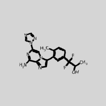 Cc1ccc(C(F)(F)C(C)O)cc1-c1cnc2c(N)nc(-n3cncn3)cn12